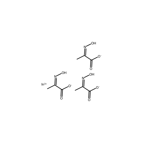 CC(=NO)C(=O)[O-].CC(=NO)C(=O)[O-].CC(=NO)C(=O)[O-].[In+3]